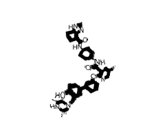 C[C@@H]1CN(Cc2cc(-c3cccc(Oc4ncc(F)cc4C(=O)N[C@H]4CC[C@H](NC(=O)c5cccc6[nH]cnc56)CC4)c3)ccc2O)C[C@H](C)N1